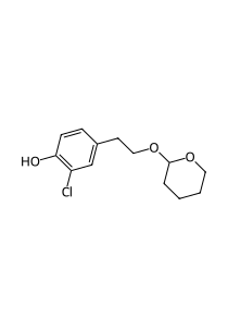 Oc1ccc(CCOC2CCCCO2)cc1Cl